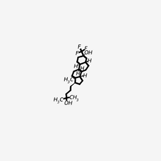 CC(C)(O)CCC[C@@H]1CC[C@H]2[C@@H]3CC[C@H]4C[C@](O)(C(F)(F)F)CC[C@@H]4[C@H]3CC[C@]12C